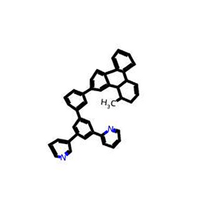 CC1CC=CC2c3ccccc3-c3ccc(-c4cccc(-c5cc(-c6cccnc6)cc(-c6ccccn6)c5)c4)cc3C12